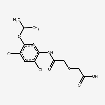 CC(C)Oc1nc(NC(=O)CSCC(=O)O)c(Cl)cc1Cl